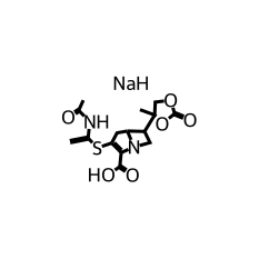 C=C(NC(C)=O)SC1=C(C(=O)O)N2CC(C3(C)COC(=O)O3)C2C1.[NaH]